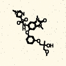 COCC(C)(O)COc1cccc(Oc2cc3c(cc2NS(=O)(=O)c2cn(C)cn2)n(C)c(=O)n3C)c1